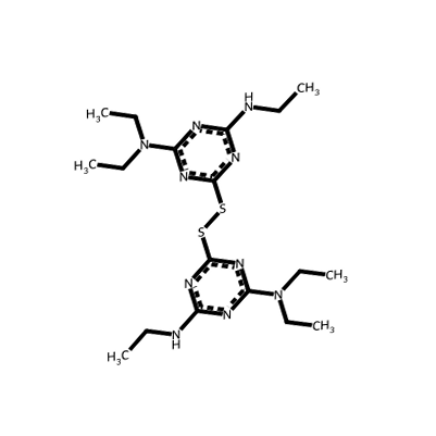 CCNc1nc(SSc2nc(NCC)nc(N(CC)CC)n2)nc(N(CC)CC)n1